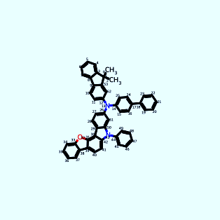 CC1(C)c2ccccc2-c2ccc(N(c3ccc(-c4ccccc4)cc3)c3ccc4c5c6oc7ccccc7c6ccc5n(-c5ccccc5)c4c3)cc21